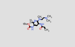 C=CC(=O)Nc1cc(NC(=O)OC(C)(C)C)c(C)nc1N(C)CCN(C)C